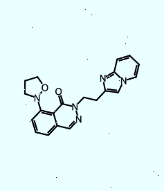 O=c1c2c(N3CCCO3)cccc2cnn1CCc1cn2ccccc2n1